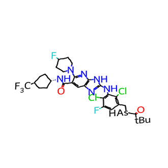 CC(C)(C)C(=O)[AsH]Cc1cc(F)c(Cl)c(Nc2nc3cc(C(=O)N[C@H]4CC[C@H](C(F)(F)F)CC4)c(N4CCC(F)CC4)nc3[nH]2)c1Cl